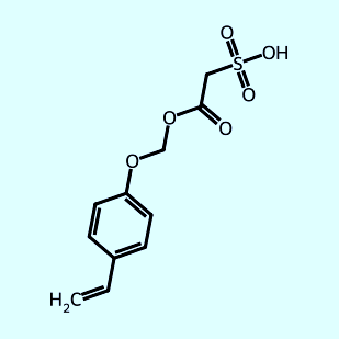 C=Cc1ccc(OCOC(=O)CS(=O)(=O)O)cc1